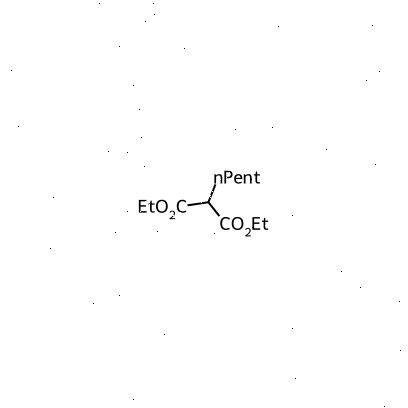 CCCCCC(C(=O)OCC)C(=O)OCC